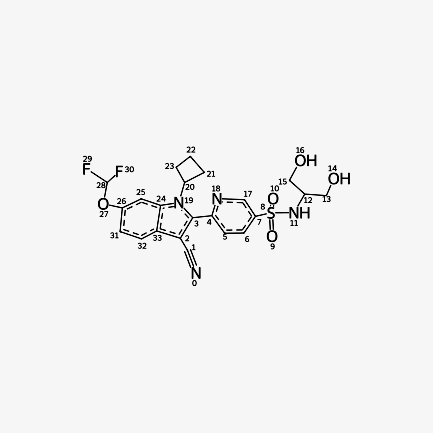 N#Cc1c(-c2ccc(S(=O)(=O)NC(CO)CO)cn2)n(C2CCC2)c2cc(OC(F)F)ccc12